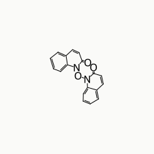 O=c1ccc2ccccc2n1On1c(=O)ccc2ccccc21